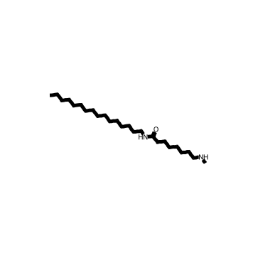 CCCCCCCCCCCCCCCCNC(=O)CCCCCCCNC